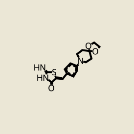 N=C1NC(=O)C(=Cc2ccc(N3CCC4(CC3)OCCO4)cc2)S1